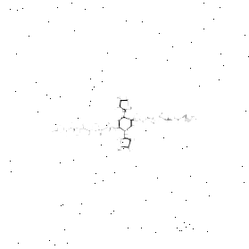 COCCOCCOCCOc1cc(-c2cccs2)c(OCCOCCOCCOC)cc1-c1cccs1